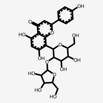 O=c1cc(-c2ccc(O)cc2)oc2c(C3OC(CO)C(O)C(O)C3OC3OC(CO)C(O)C3O)c(O)cc(O)c12